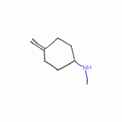 C=C1CCC(NC)CC1